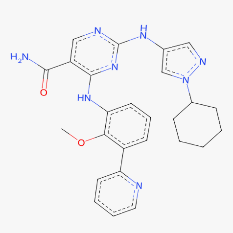 COc1c(Nc2nc(Nc3cnn(C4CCCCC4)c3)ncc2C(N)=O)cccc1-c1ccccn1